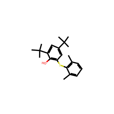 Cc1cccc(C)c1Sc1cc(C(C)(C)C)cc(C(C)(C)C)c1O